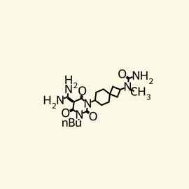 CCCCN1C(=O)C(=C(N)N)C(=O)N(C2CCC3(CC2)CC(N(C)C(N)=O)C3)C1=O